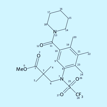 COC(=O)C(C)(C)CN(c1cc(C(=O)N2CCCCC2)c(C)c(C)c1C)S(=O)(=O)C(F)(F)F